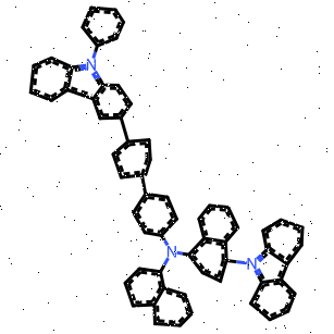 c1ccc(-n2c3ccccc3c3cc(-c4ccc(-c5ccc(N(c6cccc7ccccc67)c6ccc(-n7c8ccccc8c8ccccc87)c7ccccc67)cc5)cc4)ccc32)cc1